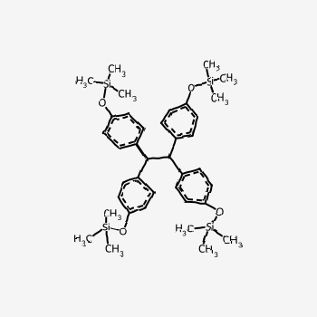 C[Si](C)(C)Oc1ccc(C(c2ccc(O[Si](C)(C)C)cc2)C(c2ccc(O[Si](C)(C)C)cc2)c2ccc(O[Si](C)(C)C)cc2)cc1